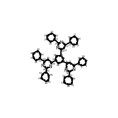 c1ccc(-c2cc(-c3cc(-c4cc(-c5ccccc5)nc(-c5ccccc5)n4)cc(-c4cc(-c5ccccc5)nc(-c5ccccc5)n4)c3)nc(-c3ccccc3)n2)cc1